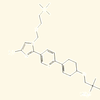 CC(C)(COC1CC=C(c2ccc(-c3nc(C(F)(F)F)cn3COCC[Si](C)(C)C)cn2)CC1)C(=O)O